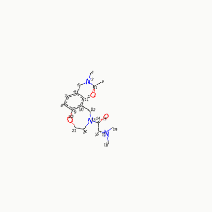 CC(=O)N(C)Cc1ccc2c(c1)CN(C(=O)CN(C)C)CCO2